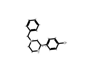 Clc1ccc([C@@H]2CN(Cc3ccccc3)CCO2)cc1